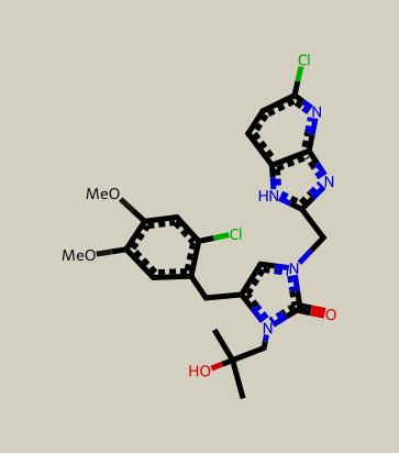 COc1cc(Cl)c(Cc2cn(Cc3nc4nc(Cl)ccc4[nH]3)c(=O)n2CC(C)(C)O)cc1OC